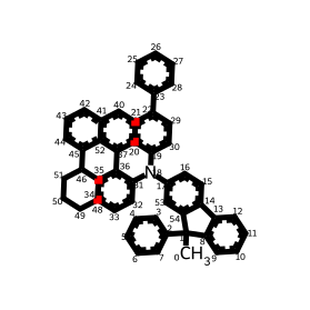 CC1(c2ccccc2)c2ccccc2-c2ccc(N(c3ccc(-c4ccccc4)cc3)c3ccccc3-c3cccc4cccc(C5CCCCC5)c34)cc21